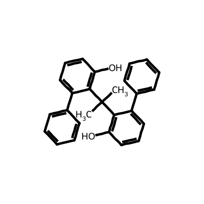 CC(C)(c1c(O)cccc1-c1ccccc1)c1c(O)cccc1-c1ccccc1